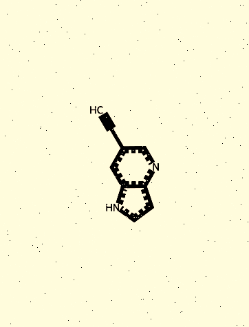 C#Cc1cnc2cc[nH]c2c1